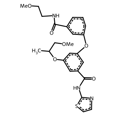 COCCNC(=O)c1cccc(Oc2cc(OC(C)COC)cc(C(=O)Nc3nccs3)c2)c1